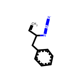 C=CC(Cc1ccccc1)N=[N+]=[N-]